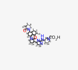 Cc1ccc2c(N3CCCC(C)C3=O)cccc2c1Oc1ncccc1-c1ccnc(NC2CCCN(C(=O)O)C2)n1